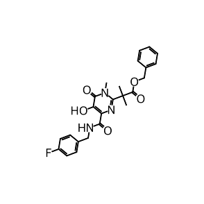 Cn1c(C(C)(C)C(=O)OCc2ccccc2)nc(C(=O)NCc2ccc(F)cc2)c(O)c1=O